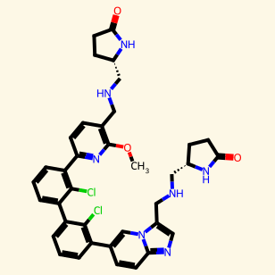 COc1nc(-c2cccc(-c3cccc(-c4ccc5ncc(CNC[C@@H]6CCC(=O)N6)n5c4)c3Cl)c2Cl)ccc1CNC[C@@H]1CCC(=O)N1